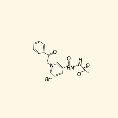 CS(=O)(=O)NNC(=O)c1ccc[n+](CC(=O)c2ccccc2)c1.[Br-]